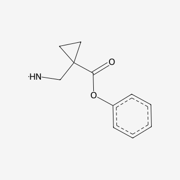 [NH]CC1(C(=O)Oc2ccccc2)CC1